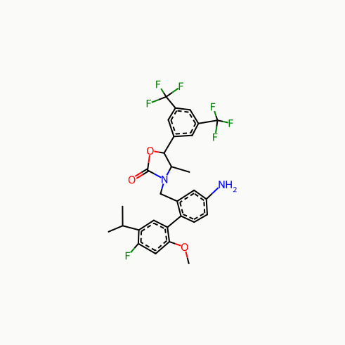 COc1cc(F)c(C(C)C)cc1-c1ccc(N)cc1CN1C(=O)OC(c2cc(C(F)(F)F)cc(C(F)(F)F)c2)C1C